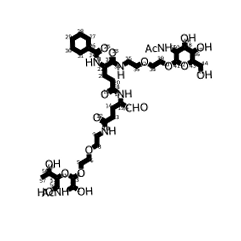 CC(=O)NC(O)C(OCCOCCNC(=O)CCC(C=O)NC(=O)CCC(NC(=O)C1CCCCC1)C(=O)NCCOCCOC1OC(CO)C(O)C(O)C1NC(C)=O)OC(CO)C(C)O